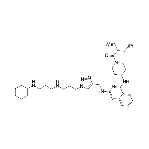 CNC(CC(C)C)C(=O)N1CCC(Nc2nc(NCc3cn(CCCNCCCNC4CCCCC4)nn3)nc3ccccc23)CC1